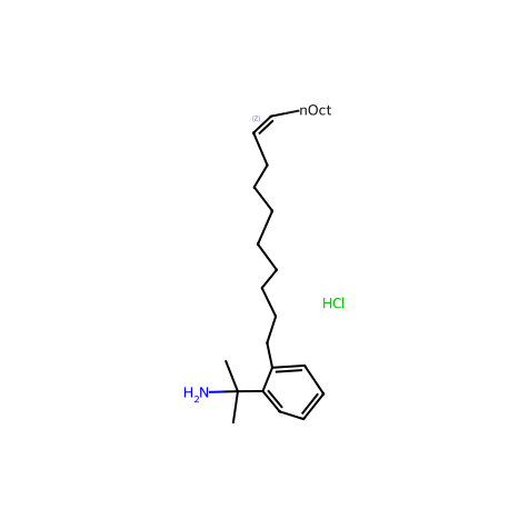 CCCCCCCC/C=C\CCCCCCCCc1ccccc1C(C)(C)N.Cl